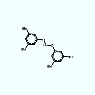 CC(C)(C)c1cc(OBOc2cc(C(C)(C)C)cc(C(C)(C)C)c2)cc(C(C)(C)C)c1